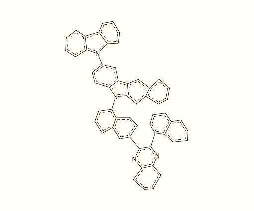 c1ccc2cc3c(cc2c1)c1cc(-n2c4ccccc4c4ccccc42)ccc1n3-c1cccc2cc(-c3nc4ccccc4nc3-c3cccc4ccccc34)ccc12